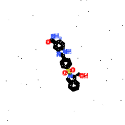 NC(=O)c1ccc2[nH]c(-c3ccc(S(=O)(=O)N4Cc5ccccc5[C@H]4CO)cc3)nc2c1